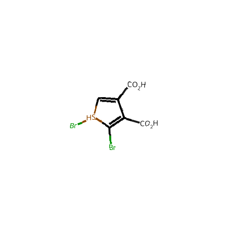 O=C(O)C1=C[SH](Br)C(Br)=C1C(=O)O